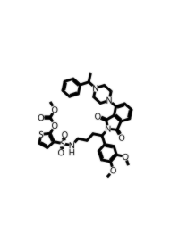 COC(=O)Oc1sccc1S(=O)(=O)NCCCC(c1ccc(OC)c(OC)c1)N1C(=O)c2cccc(N3CCN(C(C)c4ccccc4)CC3)c2C1=O